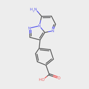 Nc1ccnc2c(-c3ccc(C(=O)O)cc3)cnn12